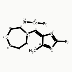 CCC1=NC(=CN2CCSSCC2)C(C)=N1.[Br][Cd][Br]